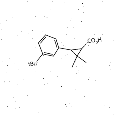 CC(C)(C)c1cccc(C2C(C(=O)O)C2(C)C)c1